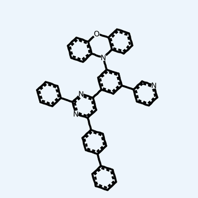 c1ccc(-c2ccc(-c3cc(-c4cc(-c5cccnc5)cc(N5c6ccccc6Oc6ccccc65)c4)nc(-c4ccccc4)n3)cc2)cc1